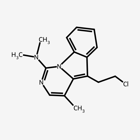 Cc1cnc(N(C)C)n2c1c(CCCl)c1ccccc12